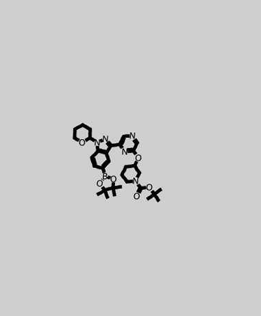 CC(C)(C)OC(=O)N1CCCC(Oc2cncc(-c3nn(C4CCCCO4)c4ccc(B5OC(C)(C)C(C)(C)O5)cc34)n2)C1